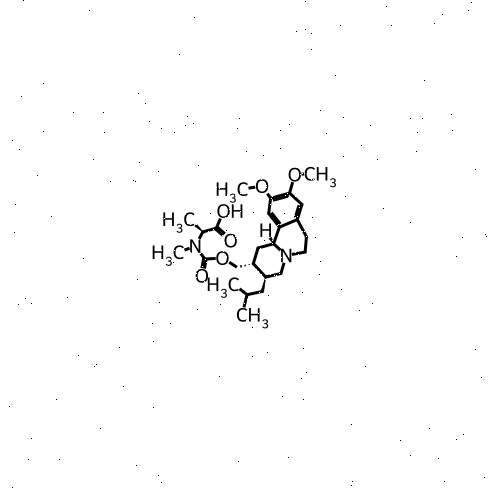 COc1cc2c(cc1OC)[C@H]1C[C@@H](COC(=O)N(C)[C@@H](C)C(=O)O)[C@H](CC(C)C)CN1CC2